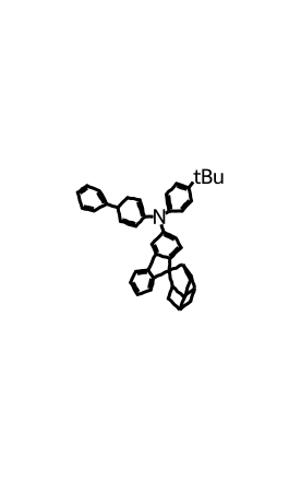 CC(C)(C)c1ccc(N(C2=CCC(c3ccccc3)C=C2)c2ccc3c(c2)-c2ccccc2C32C3CC4CC(C3)CC2C4)cc1